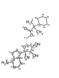 CC(C)(C(=O)OC[C@H]1O[C@@](C#N)(c2ccc3c(N)ncnn23)[C@H](O)[C@@H]1O)C1CCCCC1